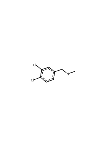 C[N]Cc1ccc(Cl)c(Cl)c1